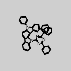 c1ccc(-c2ccc3c(c2)c2c(ccc4c5ccccc5n(-c5nc(-c6ccccc6)nc(-c6ccccc6)n5)c42)n3-c2ccccc2)cc1